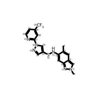 Cc1cc2cn(C)nc2cc1NSc1cnn(-c2cc(C(F)(F)F)ccn2)c1